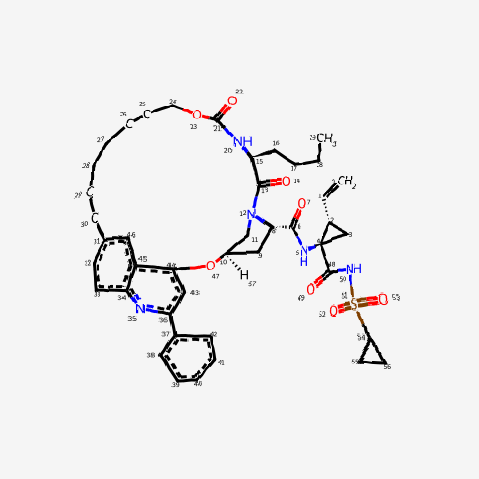 C=C[C@@H]1C[C@]1(NC(=O)[C@@H]1C[C@@H]2CN1C(=O)[C@H](CCCC)NC(=O)OCCCCCCCc1ccc3nc(-c4ccccc4)cc(c3c1)O2)C(=O)NS(=O)(=O)C1CC1